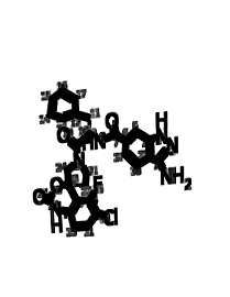 Nc1n[nH]c2cc(C(=O)N[C@@H](Cc3ccccc3)C(=O)N3CC[C@@]4(C3)OC(=O)Nc3ccc(Cl)c(F)c34)ccc12